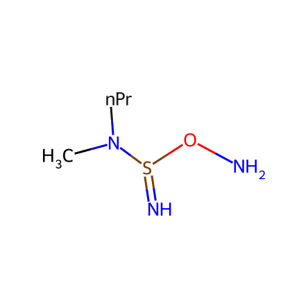 CCCN(C)S(=N)ON